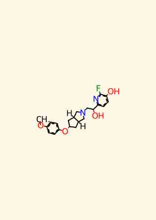 COc1ccc(O[C@H]2C[C@@H]3CN(C[C@H](O)c4ccc(O)c(F)n4)C[C@@H]3C2)cc1